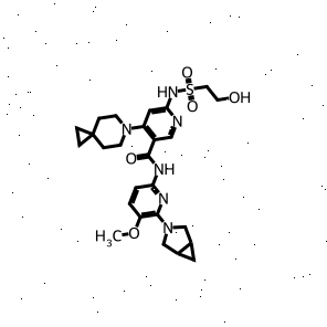 COc1ccc(NC(=O)c2cnc(NS(=O)(=O)CCO)cc2N2CCC3(CC2)CC3)nc1N1CC2CC2C1